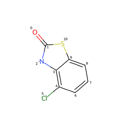 O=C1[N]c2c(Cl)cccc2S1